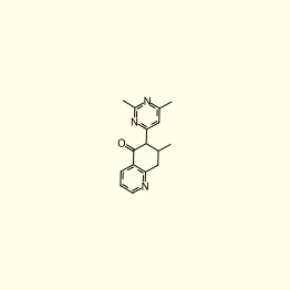 Cc1cc(C2C(=O)c3cccnc3CC2C)nc(C)n1